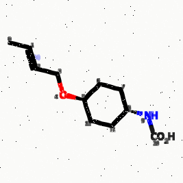 C/C=C/CO[C@H]1CC[C@H](NC(=O)O)CC1